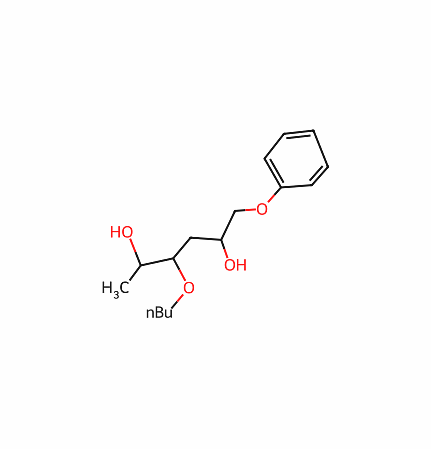 CCCCOC(CC(O)COc1ccccc1)C(C)O